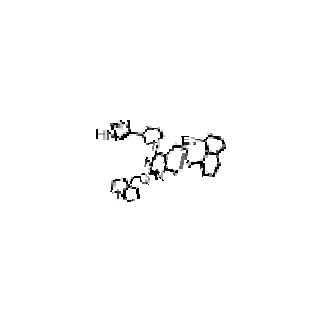 CCc1cccc2cccc(N3CCc4c(nc(OCC56CCCN5CCC6)nc4N4CCCC(c5c[nH]cn5)C4)C3)c12